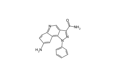 NC(=O)c1nn(-c2ccccc2)c2c1cnc1ccc(N)cc12